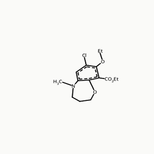 CCOC(=O)c1c(OCC)c(Cl)cc2c1OCCCN2C